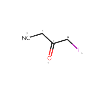 N#CCC(=O)CI